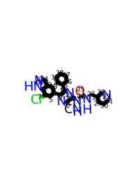 N#Cc1nc(-c2cc(Cl)c3[nH]ncc3c2)c(-c2ccccc2)nc1NC(=O)NCc1cccnc1